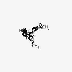 C=CC(=O)N1CC2(CCN(c3nc4c(c(-c5c(F)ccc6[nH]ncc56)c3C)CCN(CCC)C4)C2)C1